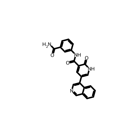 NC(=O)c1cccc(NC(=O)c2cc(-c3cncc4ccccc34)c[nH]c2=O)c1